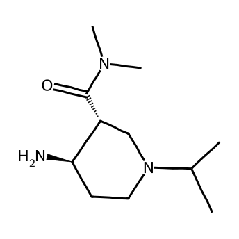 CC(C)N1CC[C@@H](N)[C@H](C(=O)N(C)C)C1